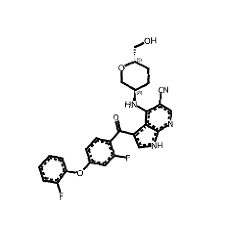 N#Cc1cnc2[nH]cc(C(=O)c3ccc(Oc4ccccc4F)cc3F)c2c1N[C@@H]1CC[C@@H](CO)OC1